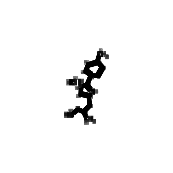 Cc1ccc(-c2nc(CC(C)CO)c[nH]2)cc1.Cl